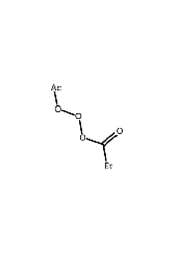 CCC(=O)OOOC(C)=O